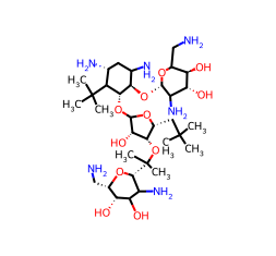 CC(C)(C)C[C@H]1OC(O[C@@H]2C(C(C)(C)C)[C@H](N)CC(N)[C@H]2O[C@@H]2OC(CN)[C@@H](O)[C@H](O)C2N)[C@@H](O)[C@H]1OC(C)(C)[C@H]1O[C@@H](CN)[C@@H](O)C(O)C1N